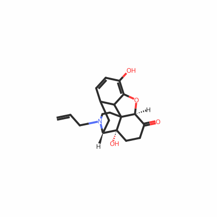 C=CCN1CCC23C4C5=C(O)C=CC4C[C@@H]1[C@]2(O)CCC(=O)[C@@H]3O5